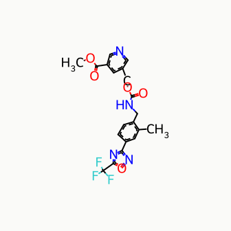 COC(=O)c1cncc(COC(=O)NCc2ccc(-c3noc(C(F)(F)F)n3)cc2C)c1